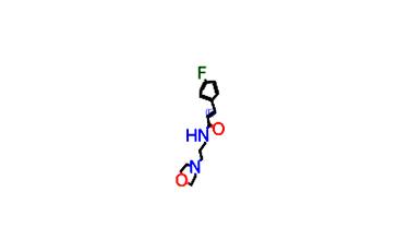 O=C(/C=C/c1ccc(F)cc1)NCCCN1CCOCC1